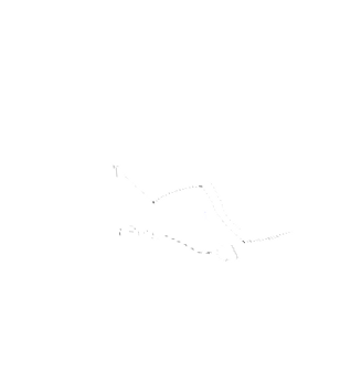 C/C=C/CC(C)C.CCCCCCl